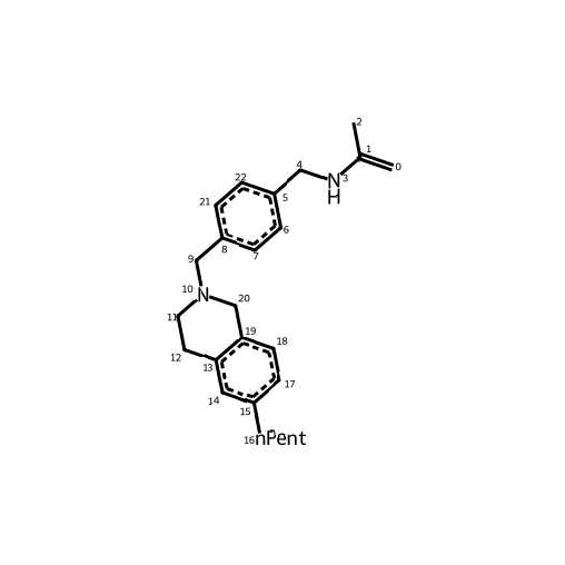 C=C(C)NCc1ccc(CN2CCc3cc(CCCCC)ccc3C2)cc1